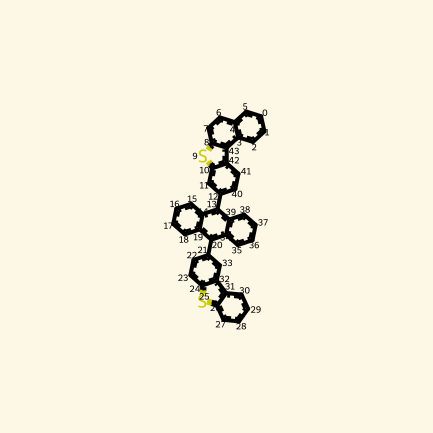 c1ccc2c(c1)ccc1sc3cc(-c4c5ccccc5c(-c5ccc6sc7ccccc7c6c5)c5ccccc45)ccc3c12